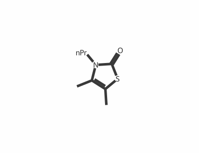 CCCn1c(C)c(C)sc1=O